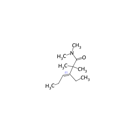 CC/C=C(\CC)C(C)(C)C(=O)N(C)C